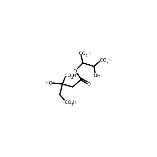 O=C(O)CC(O)(CC(=O)OC(C(=O)O)C(O)C(=O)O)C(=O)O